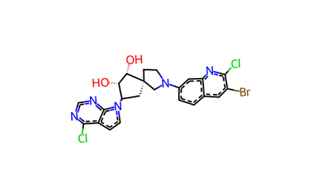 O[C@H]1[C@H](n2ccc3c(Cl)ncnc32)C[C@@]2(CCN(c3ccc4cc(Br)c(Cl)nc4c3)C2)[C@H]1O